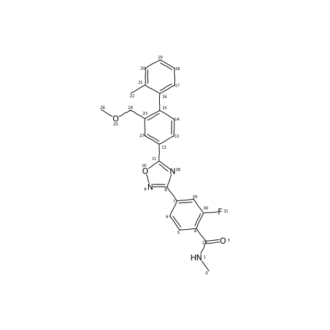 CNC(=O)c1ccc(-c2noc(-c3ccc(-c4ccccc4C)c(COC)c3)n2)cc1F